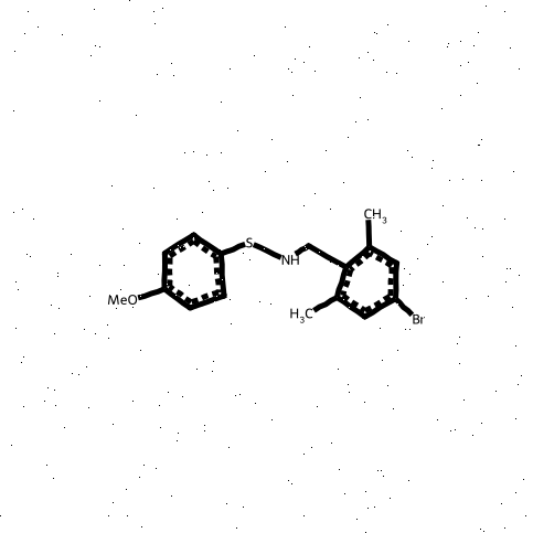 COc1ccc(SNCc2c(C)cc(Br)cc2C)cc1